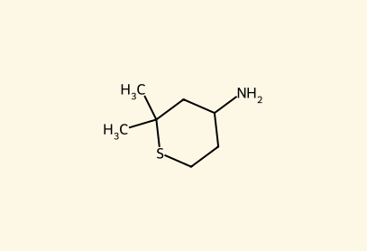 CC1(C)CC(N)CCS1